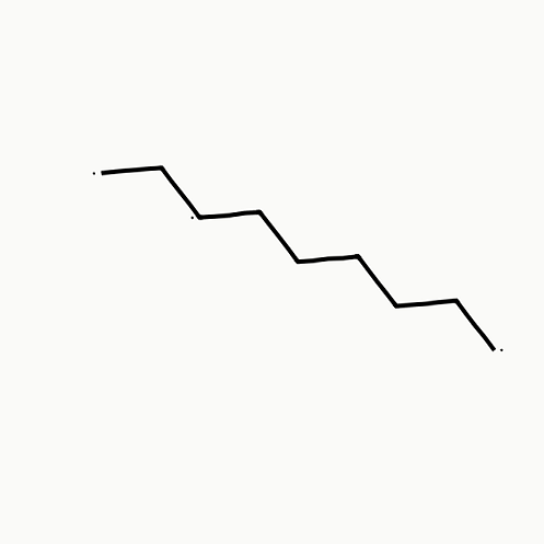 [CH2]C[CH]CCCCC[CH2]